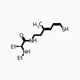 CCN[C@@H](CC)C(=O)NCC/C(C)=C/C=C\S